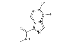 CNC(=O)c1ncn2c(F)c(Br)ccc12